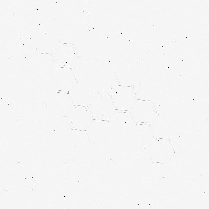 C=C/N=C1/C=NC(N2CCOCC2)=N/C1=C(/N)Nc1cc(C(=O)Nc2cccc(C(F)(F)F)c2)ccc1C